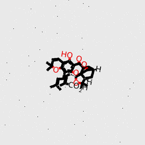 CC(C)=CCc1c2c(c(O)c3c1O[C@]14C(=C[C@@H]5C[C@H]1C(C)(C)O[C@@]4(C/C=C(/C)C(=O)O)C5=O)C3=O)C=CC(C)(C)O2